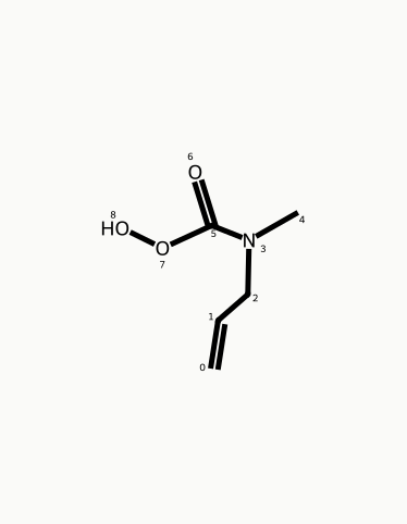 C=CCN(C)C(=O)OO